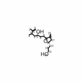 C=C(C)C(C)C[C@H](O)CCC1O[C@@H](CCCO)CC1=C